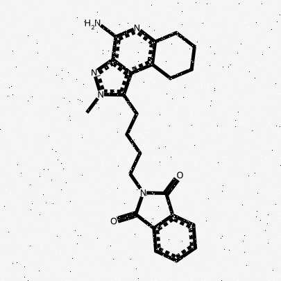 Cn1nc2c(N)nc3c(c2c1CCCCN1C(=O)c2ccccc2C1=O)CCCC3